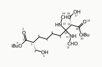 CC(C)COC(=O)[C@@H](CO)CCCCC(NC=O)(NC=O)[C@H](CO)C(=O)OCC(C)C